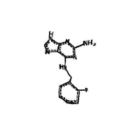 Nc1nc(NCc2ccccc2F)c2nc[nH]c2n1